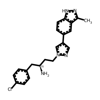 Cc1n[nH]c2ccc(-c3cnn(CC[C@@H](N)Cc4ccc(Cl)cc4)c3)cc12